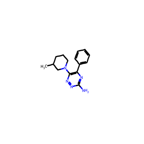 CC1CCCN(c2nnc(N)nc2-c2ccccc2)C1